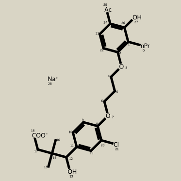 CCCc1c(OCCCOc2ccc(C(O)C(C)(C)CC(=O)[O-])cc2Cl)ccc(C(C)=O)c1O.[Na+]